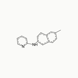 Cc1ccc2cc(Nc3ccccn3)ccc2c1